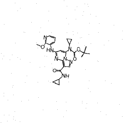 COc1ncccc1Nc1cc(N(C(=O)OC(C)(C)C)C2CC2)n2ncc(C(=O)NC3CC3)c2n1